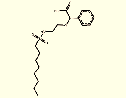 CCCCCCCCS(=O)(=O)NCCSC(C(=O)O)c1ccccc1